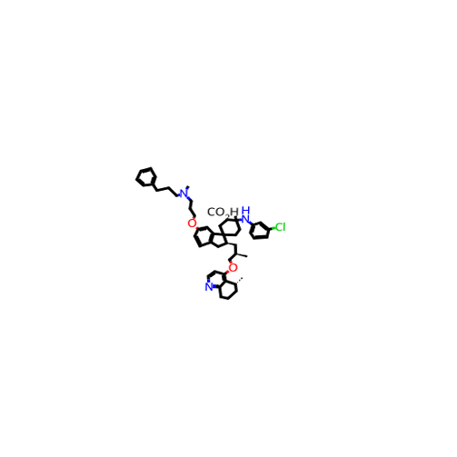 C[C@@H](COc1ccnc2c1[C@H](C)CCC2)C[C@H]1Cc2ccc(OCCCN(C)CCCc3ccccc3)cc2C12CCC(Nc1cccc(Cl)c1)(C(=O)O)CC2